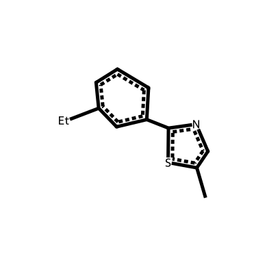 CCc1cccc(-c2ncc(C)s2)c1